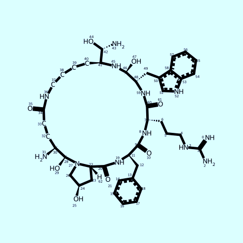 N=C(N)NCCC[C@@H]1NC(=O)[C@@H](Cc2ccccc2)NC(=O)[C@@H]2C[C@@H](O)CN2[C@@H](O)[C@@H](N)CCC(=O)NCCCC[C@@H]([C@@H](N)O)N[C@@H](O)[C@H](Cc2c[nH]c3ccccc23)NC1=O